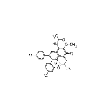 COc1c(NC(C)=O)c2cc(-c3ccc(Cl)cc3)c(-c3ccc(Cl)cc3Cl)nc2n(CC(C)C)c1=O